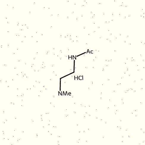 CNCCNC(C)=O.Cl